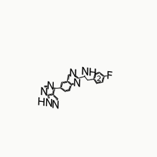 NC(Cc1ccc(F)cc1)c1ncc2cc(-c3ncnc4[nH]ncc34)ccc2n1